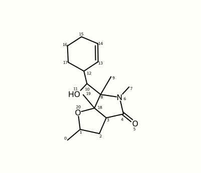 CC1CC2C(=O)N(C)C(C)(C(O)C3C=CCCC3)C2(C)O1